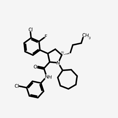 CCCC[C@H]1CC(c2cccc(Cl)c2F)C(C(=O)Nc2cccc(Cl)c2)N1C1CCCCCC1